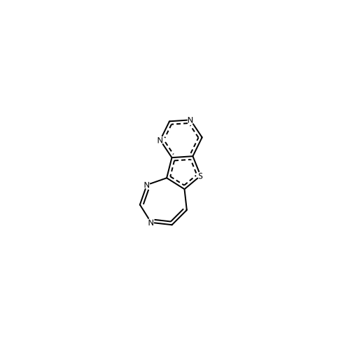 C1=Cc2sc3cncnc3c2N=CN=1